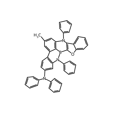 Cc1cc2c3c(c1)N(c1ccccc1)c1c(oc4ccccc14)B3N(c1ccccc1)c1cc(N(c3ccccc3)c3ccccc3)ccc1-2